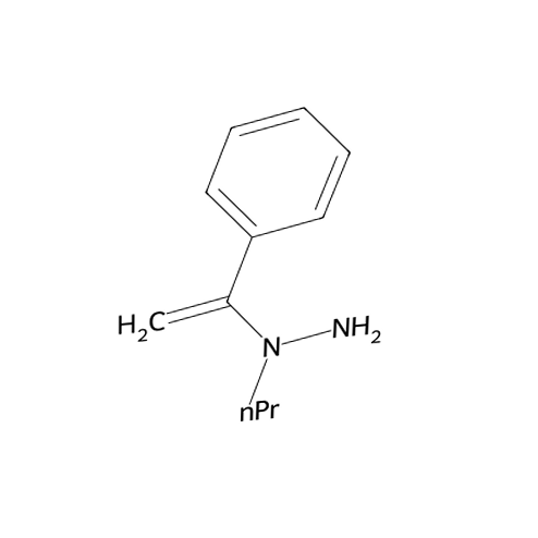 C=C(c1ccccc1)N(N)CCC